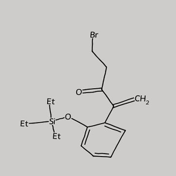 C=C(C(=O)CCBr)c1ccccc1O[Si](CC)(CC)CC